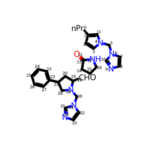 CCCc1ccn(Cn2ccnc2)c1.O=C1CCCN1.O=CC1CC(c2ccccc2)CN1Cn1ccnc1